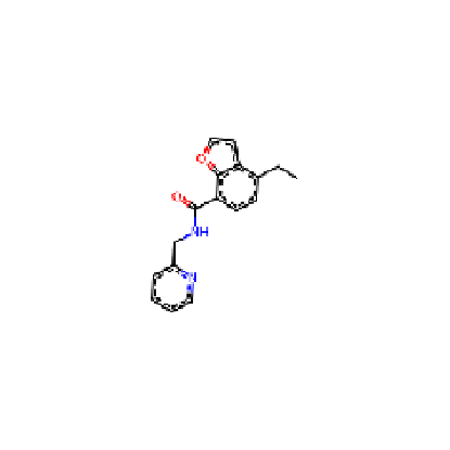 CCc1ccc(C(=O)NCc2ccccn2)c2occc12